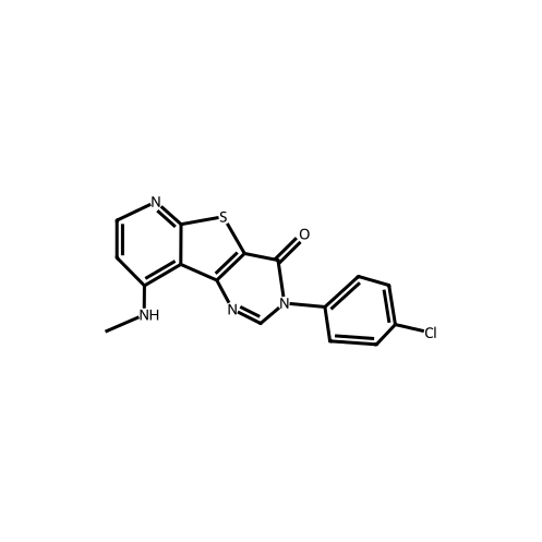 CNc1ccnc2sc3c(=O)n(-c4ccc(Cl)cc4)cnc3c12